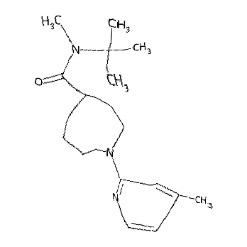 Cc1ccnc(N2CCC(C(=O)N(C)C(C)(C)C)CC2)c1